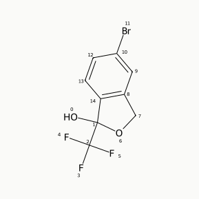 OC1(C(F)(F)F)OCc2cc(Br)ccc21